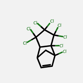 ClC12C=CC(C1)C1C(Cl)(Cl)C(Cl)(Cl)C(Cl)(Cl)C12Cl